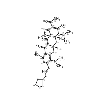 CN(C)c1c(CNCC2CCCC2)cc(O)c2c1C[C@H]1C[C@H]3[C@H](N(C)C)C(O)=C(C(N)=O)C(=O)[C@@]3(O)C(O)=C1C2=O